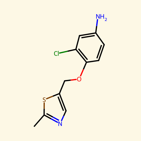 Cc1ncc(COc2ccc(N)cc2Cl)s1